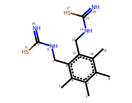 Cc1c(C)c(C)c(CNC(=N)S)c(CNC(=N)S)c1C